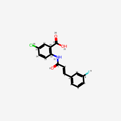 O=C(/C=C/c1cccc(F)c1)Nc1ccc(Cl)cc1C(=O)O